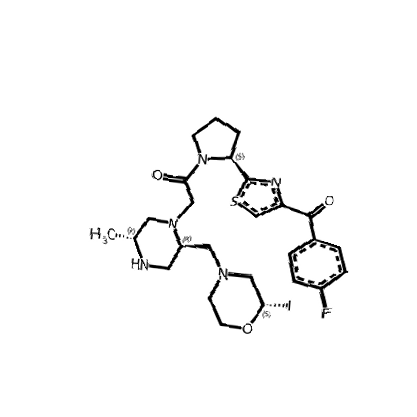 C[C@@H]1CN(CC(=O)N2CCC[C@H]2c2nc(C(=O)c3ccc(F)cc3)cs2)[C@@H](CN2CCO[C@@H](I)C2)CN1